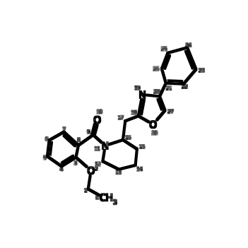 CCOc1ccccc1C(=O)N1CCCCC1Cc1nc(-c2ccccc2)co1